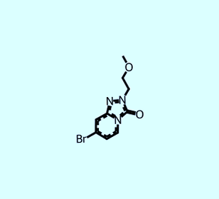 COCCn1nc2cc(Br)ccn2c1=O